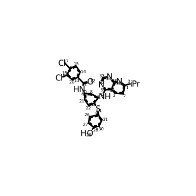 CC(C)c1ccc2c(Nc3cc(NC(=O)c4ccc(Cl)c(Cl)c4)ccc3Sc3ccc(O)cc3)ncnc2n1